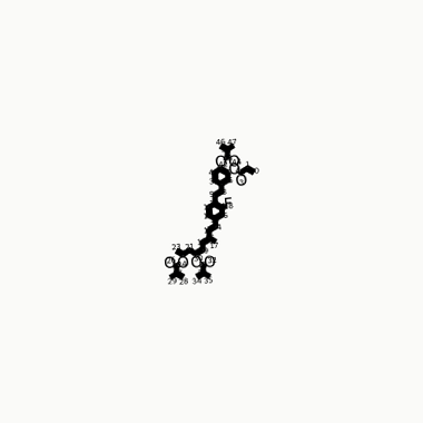 C=CC(=O)Oc1cc(/C=C/c2ccc(/C=C/C(C)=C/C=C(\CC(=C)OC(=O)C(=C)C)OC(=O)C(=C)C)cc2F)ccc1OC(=O)C(=C)C